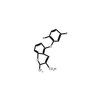 O=C(O)C1=Cc2c(Oc3cc(F)ccc3F)cccc2OC1C(F)(F)F